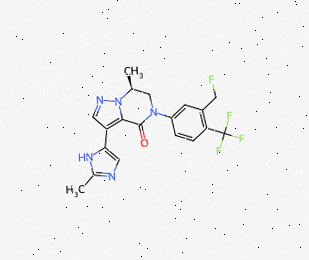 Cc1ncc(-c2cnn3c2C(=O)N(c2ccc(C(F)(F)F)c(CF)c2)C[C@@H]3C)[nH]1